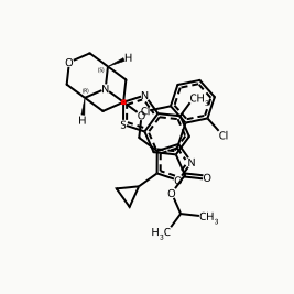 Cc1cc(C(=O)OC(C)C)cc2sc(N3[C@@H]4COC[C@H]3CC(OCc3c(-c5c(Cl)cccc5Cl)noc3C3CC3)C4)nc12